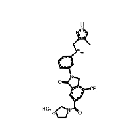 Cc1c[nH]nc1C[C@@H](C)c1cccc(N2Cc3c(cc(C(=O)N4CC[C@H](O)C4)cc3C(F)(F)F)C2=O)c1